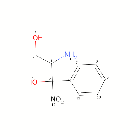 NC(CO)C(O)(c1ccccc1)[N+](=O)[O-]